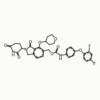 O=C1CCC(N2Cc3ccc(COC(=O)Nc4ccc(Oc5ccc(F)cc5F)cc4)c(OC4CCOCC4)c3C2=O)C(=O)N1